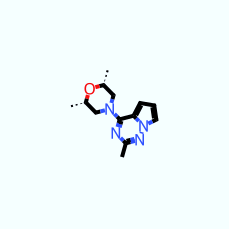 Cc1nc(N2C[C@@H](C)O[C@@H](C)C2)c2cccn2n1